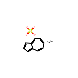 O=S(=O)([O-])[O-].[Na+].[Na+].c1ccc2cccc-2cc1